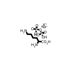 NCCCCC(N)C(=O)O.O=P([O-])([O-])OP(=O)(O)O.[K+].[Na+]